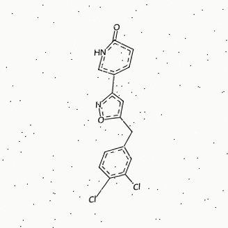 O=c1ccc(-c2cc(Cc3ccc(Cl)c(Cl)c3)on2)c[nH]1